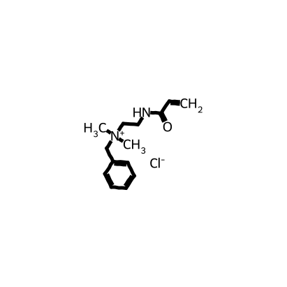 C=CC(=O)NCC[N+](C)(C)Cc1ccccc1.[Cl-]